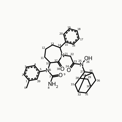 Cc1cccc(N(C(N)=O)C2CCCC(c3ccccc3)N(CC(=O)N(O)C3C4CC5CC(C4)CC3C5)C2=O)c1